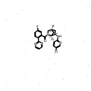 O=C(c1cc(F)ccc1-c1ncccn1)N1C[C@H]2C[C@@H](Nc3ccc(Cl)cn3)[C@@H]1C2